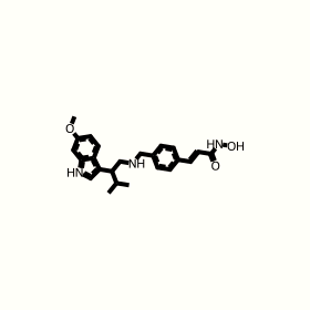 COc1ccc2c(C(CNCc3ccc(/C=C/C(=O)NO)cc3)C(C)C)c[nH]c2c1